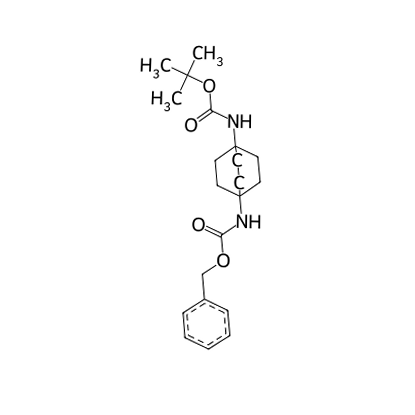 CC(C)(C)OC(=O)NC12CCC(NC(=O)OCc3ccccc3)(CC1)CC2